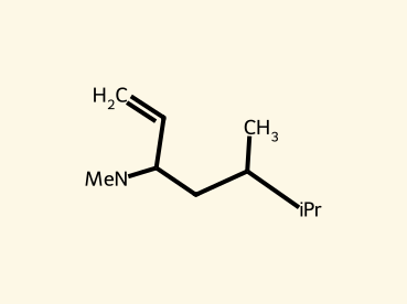 C=CC(CC(C)C(C)C)NC